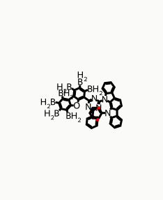 Bc1c(B)c(B)c2c(oc3c(-c4nc(-c5ccccc5)nc(-n5c6ccccc6c6ccc7c8ccccc8n(-c8ccccc8)c7c65)n4)c(B)c(B)c(B)c32)c1B